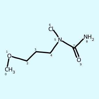 COCCCN(Cl)C(N)=O